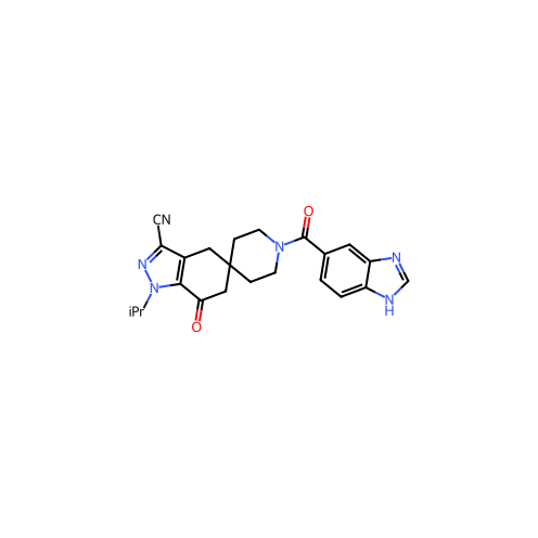 CC(C)n1nc(C#N)c2c1C(=O)CC1(CCN(C(=O)c3ccc4[nH]cnc4c3)CC1)C2